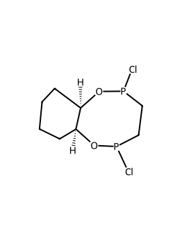 ClP1CCP(Cl)O[C@@H]2CCCC[C@@H]2O1